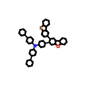 c1ccc(-c2ccc(N(c3ccc(-c4ccccc4)cc3)c3ccc(-c4cc5oc6ccccc6c5cc4-c4ccc5sc6ccccc6c5c4)cc3)cc2)cc1